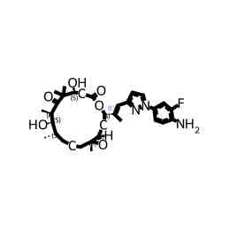 C/C(=C\c1ccn(-c2ccc(N)c(F)c2)n1)[C@@H]1C[C@@H]2O[C@]2(C)CCC[C@H](C)[C@H](O)[C@@H](C)C(=O)C(C)(C)[C@@H](O)CC(=O)O1